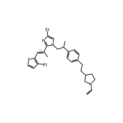 C=CN1CCC(CCc2ccc(C(C)Cn3cc(CC)nc3/C(C)=C/c3sccc3CC)cc2)C1